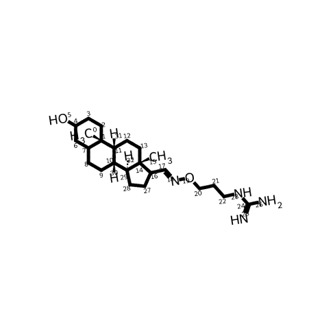 C[C@]12CCC(O)CC1CC[C@@H]1[C@H]2CC[C@]2(C)C(/C=N/OCCCNC(=N)N)CC[C@@H]12